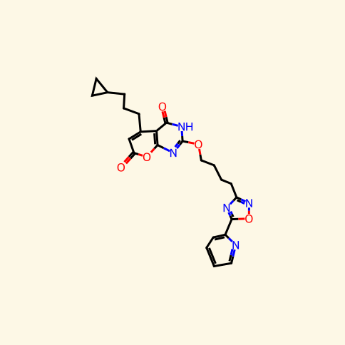 O=c1cc(CCCC2CC2)c2c(=O)[nH]c(OCCCCc3noc(-c4ccccn4)n3)nc2o1